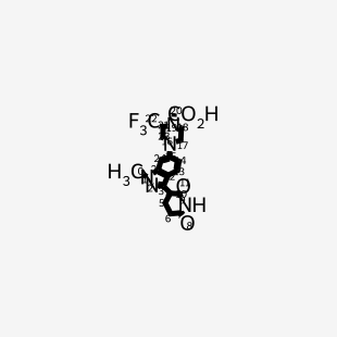 Cn1nc(C2CCC(=O)NC2=O)c2ccc(N3CCN(C(=O)O)[C@H](C(F)(F)F)C3)cc21